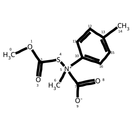 COC(=O)S[N+](C)(C(=O)[O-])c1ccc(C)cc1